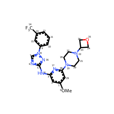 COc1cc(Nc2ncn(-c3cccc(C(F)(F)F)c3)n2)nc(N2CCN(C3COC3)CC2)c1